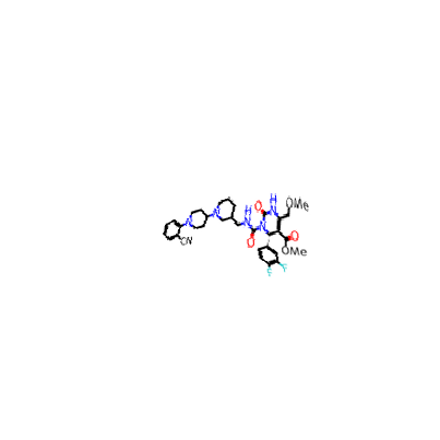 COCC1=C(C(=O)OC)[C@H](c2ccc(F)c(F)c2)N(C(=O)NCC2CCCN(C3CCN(c4ccccc4C#N)CC3)C2)C(=O)N1